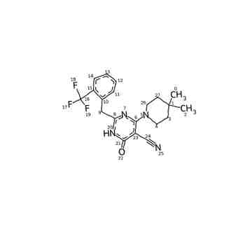 CC1(C)CCN(c2nc(Cc3ccccc3C(F)(F)F)[nH]c(=O)c2C#N)CC1